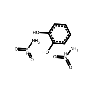 N[SH](=O)=O.N[SH](=O)=O.Oc1ccccc1O